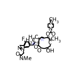 CNC(=O)Cn1ncc2c(F)cc(/C=C(\C)[C@H]3C(=O)C(=O)C[C@@H](O)CC[C@@H](C)[C@@H](OC(=O)N4CCN(C)CC4)/C=C/[C@@H]3C)cc21